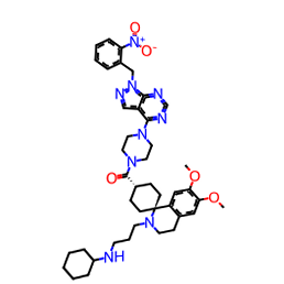 COc1cc2c(cc1OC)[C@]1(CC[C@@H](C(=O)N3CCN(c4ncnc5c4cnn5Cc4ccccc4[N+](=O)[O-])CC3)CC1)N(CCCNC1CCCCC1)CC2